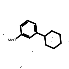 [CH2]Oc1cccc(C2CCCCC2)c1